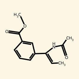 CC=C(NC(C)=O)c1cccc(C(=O)OC)c1